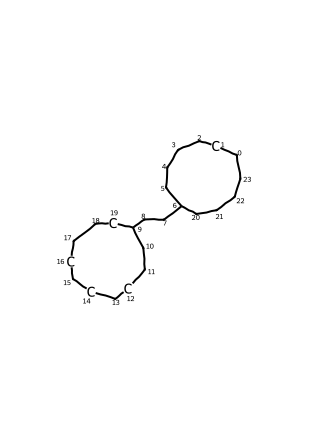 C1CCCCCC(CCC2CCCCCCCCCC2)CCCC1